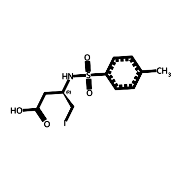 Cc1ccc(S(=O)(=O)N[C@@H](CI)CC(=O)O)cc1